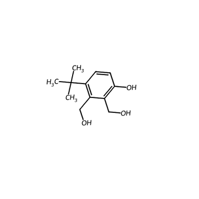 CC(C)(C)c1ccc(O)c(CO)c1CO